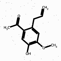 C=CCc1cc(OC)c(O)cc1C(C)=O